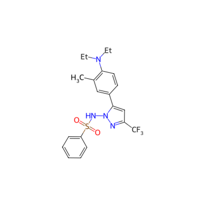 CCN(CC)c1ccc(-c2cc(C(F)(F)F)nn2NS(=O)(=O)c2ccccc2)cc1C